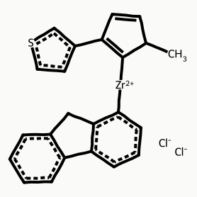 CC1C=CC(c2ccsc2)=[C]1[Zr+2][c]1cccc2c1Cc1ccccc1-2.[Cl-].[Cl-]